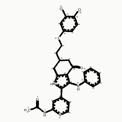 CC(=O)Nc1cc(-c2[nH]c3c(c2Nc2ccccc2)C(=O)CC(CCSc2ccc(Cl)c(Cl)c2)C3)ccn1